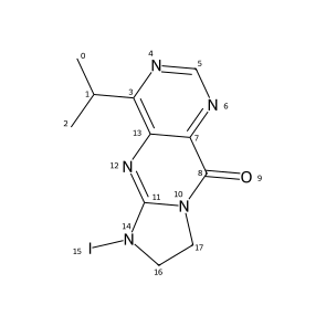 CC(C)c1ncnc2c(=O)n3c(nc12)N(I)CC3